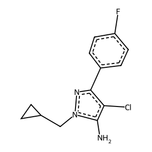 Nc1c(Cl)c(-c2ccc(F)cc2)nn1CC1CC1